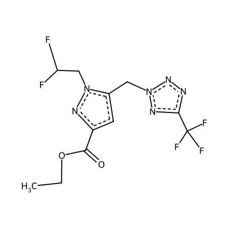 CCOC(=O)c1cc(Cn2nnc(C(F)(F)F)n2)n(CC(F)F)n1